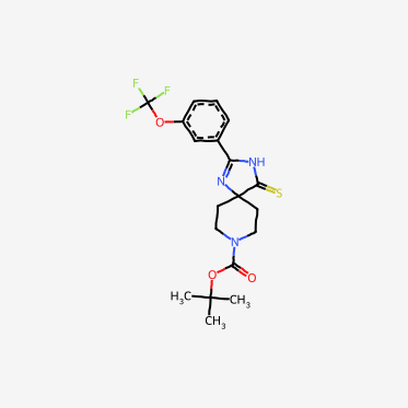 CC(C)(C)OC(=O)N1CCC2(CC1)N=C(c1cccc(OC(F)(F)F)c1)NC2=S